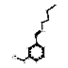 CCCCN=Cc1cccc(CO)c1